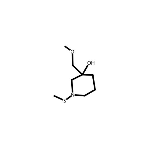 COCC1(O)CCCN(SC)C1